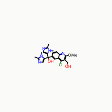 COc1nc2ccc(C(O)(c3cnc(C)n3C)c3cnc(C)n3C)cc2c(Cl)c1CO